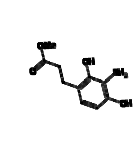 Bc1c(O)ccc(CCC(=O)OC)c1O